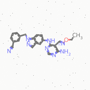 CCO/N=C/c1c(N)ncnc1Nc1ccc2c(cnn2Cc2cccc(C#N)c2)c1